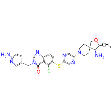 C[C@@H]1OCC2(CCN(c3cnc(Sc4ccc5ncn(Cc6ccc(N)nc6)c(=O)c5c4Cl)cn3)CC2)[C@@H]1N